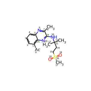 CC(=O)c1cccc2nc(C)c(NC(C)(C)CCS(C)(=O)=O)nc12